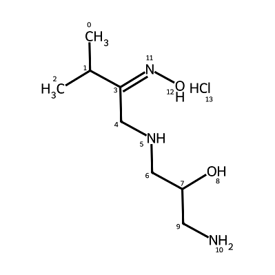 CC(C)C(CNCC(O)CN)=NO.Cl